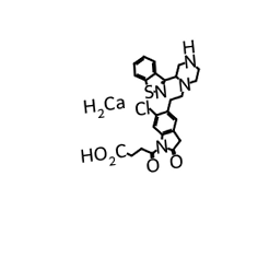 O=C(O)CCC(=O)N1C(=O)Cc2cc(CCN3CCNCC3c3nsc4ccccc34)c(Cl)cc21.[CaH2]